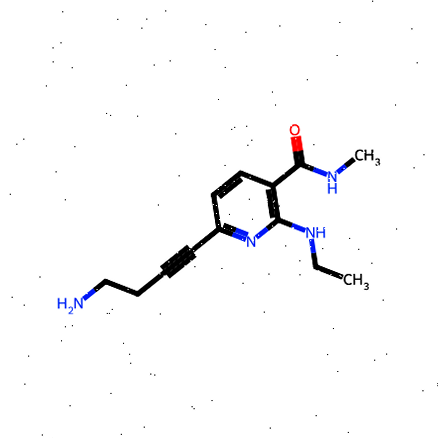 CCNc1nc(C#CCCN)ccc1C(=O)NC